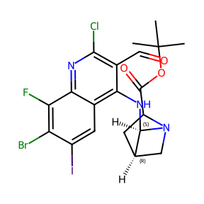 CC(C)(C)OC(=O)C1C[C@@H]2CN1[C@@H]2Nc1c(C=O)c(Cl)nc2c(F)c(Br)c(I)cc12